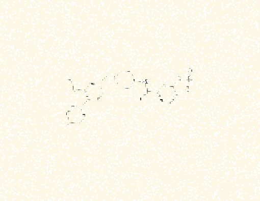 CCOc1cc(CN2CCC(NC(=O)c3cccc(OS(C)(=O)=O)c3)CC2)ccc1-c1ccc(F)cc1